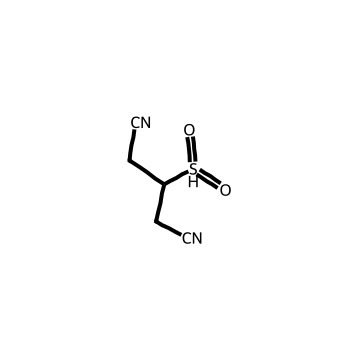 N#CCC(CC#N)[SH](=O)=O